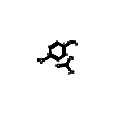 CCC(=O)CC.Nc1ccc(N)cc1